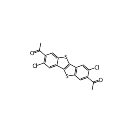 CC(=O)c1cc2sc3c4cc(Cl)c(C(C)=O)cc4sc3c2cc1Cl